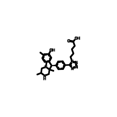 CCCCN1CC(C)NCC1(C)[C@H](c1ccc(-c2nnnn2CCCCC(=O)O)cc1)c1cccc(O)c1